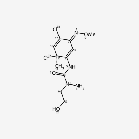 CON=C1C=C(NC(=O)N(N)CCO)C(C)(Cl)C=C1Cl